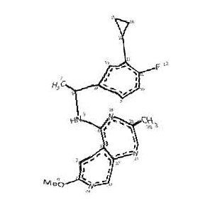 COc1cc2c(NC(C)c3ccc(F)c(C4CC4)c3)nc(C)nc2cn1